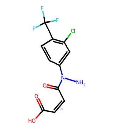 NN(C(=O)/C=C\C(=O)O)c1ccc(C(F)(F)F)c(Cl)c1